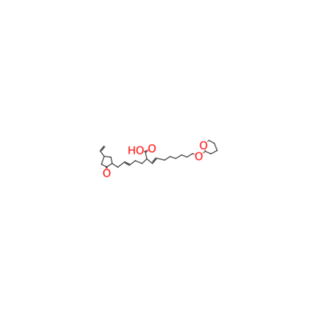 C=CC1CC(=O)C(CC=CCCC(C=CCCCCCCOC2CCCCO2)C(=O)O)C1